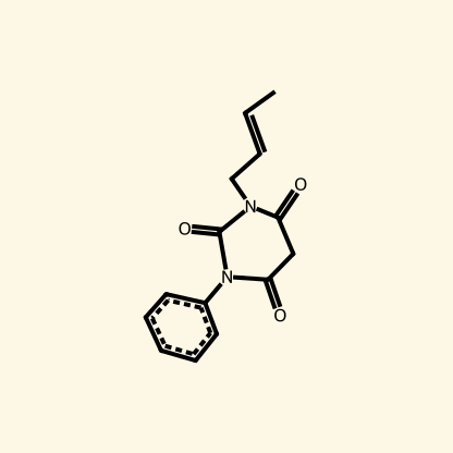 CC=CCN1C(=O)CC(=O)N(c2ccccc2)C1=O